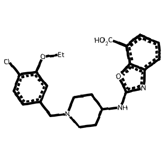 CCOc1cc(CN2CCC(Nc3nc4cccc(C(=O)O)c4o3)CC2)ccc1Cl